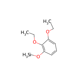 CCOc1cccc(O[SiH3])c1OCC